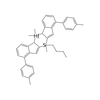 CCCC[Si]1(C)C2=Cc3c(-c4ccc(C)cc4)cccc3[CH]2[Hf]([CH3])([CH3])[CH]2C1=Cc1c(-c3ccc(C)cc3)cccc12